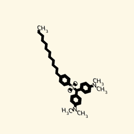 CCCCCCCCCCCCc1ccc(S(=O)(=O)C(c2ccc(N(C)C)cc2)c2ccc(N(C)C)cc2)cc1